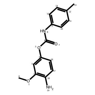 COc1cc(OC(=O)Nc2ccc(C)cc2)ccc1N